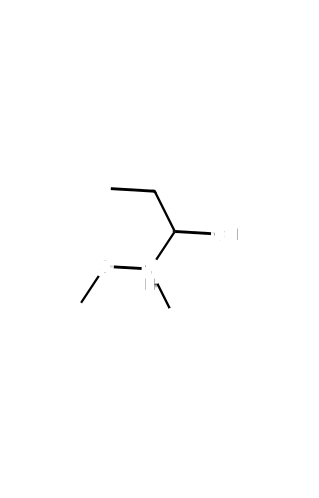 CCC(O)[SiH](C)OC